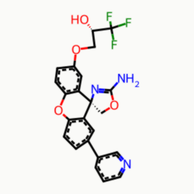 NC1=N[C@]2(CO1)c1cc(OC[C@H](O)C(F)(F)F)ccc1Oc1ccc(-c3cccnc3)cc12